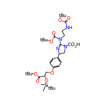 CC(C)(C)OC(=O)NCCN(C(=O)OC(C)(C)C)C1=NC(c2ccc(OCC(O[Si](C)(C)C(C)(C)C)C(=O)OC(C)(C)C)cc2)CN1C(=O)O